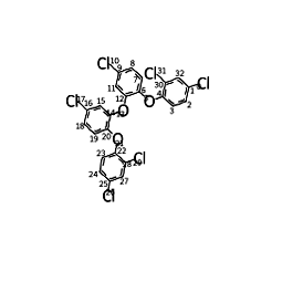 Clc1ccc(Oc2ccc(Cl)cc2Oc2cc(Cl)ccc2Oc2ccc(Cl)cc2Cl)c(Cl)c1